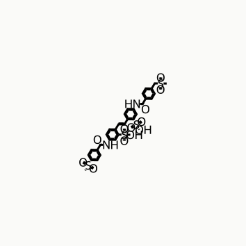 CS(=O)(=O)Cc1ccc(C(=O)Nc2ccc(C=Cc3ccc(NC(=O)c4ccc(S(C)(=O)=O)cc4)cc3S(=O)(=O)O)c(S(=O)(=O)O)c2)cc1